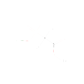 CCC(CC)(C(=O)OC(C)(C)C)P(=O)(O)OCl